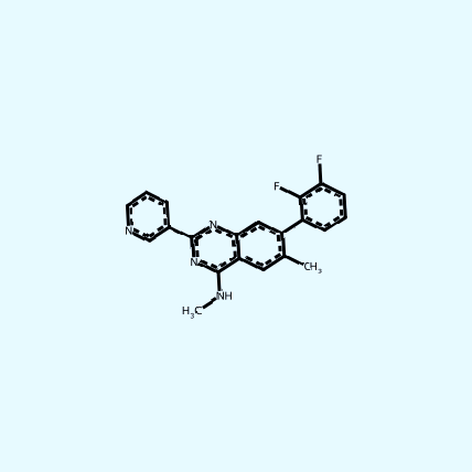 CNc1nc(-c2cccnc2)nc2cc(-c3cccc(F)c3F)c(C)cc12